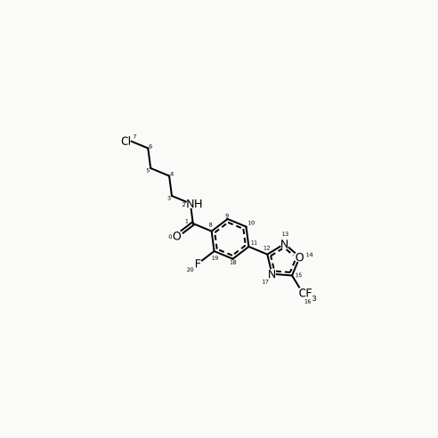 O=C(NCCCCCl)c1ccc(-c2noc(C(F)(F)F)n2)cc1F